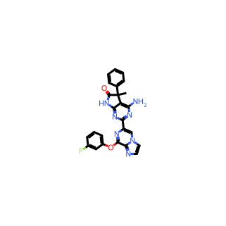 CC1(c2ccccc2)C(=O)Nc2nc(-c3cn4ccnc4c(Oc4cccc(F)c4)n3)nc(N)c21